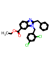 CCOC(=O)c1ccc2nc(Cc3ccccc3)n(Cc3ccc(Cl)cc3Cl)c2c1